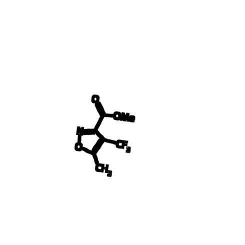 COC(=O)c1noc(C)c1C(F)(F)F